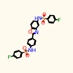 O=S(=O)(Nc1ccc(-c2nc3cc(NS(=O)(=O)c4ccc(F)cc4)ccc3o2)cc1)c1ccc(F)cc1